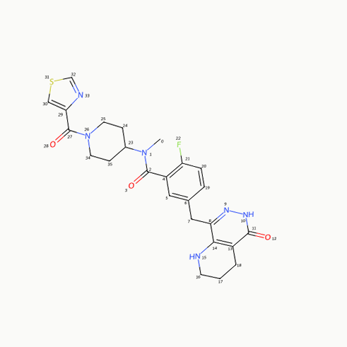 CN(C(=O)c1cc(Cc2n[nH]c(=O)c3c2NCCC3)ccc1F)C1CCN(C(=O)c2cscn2)CC1